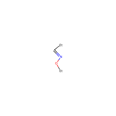 [CH2]CON=CCC